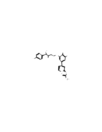 Nc1nc2cc(-c3cc(F)c(F)c(OCCC(F)C(O)c4ccc(F)cc4)c3)ccn2n1